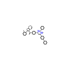 C=N/C(=C\C(=N/Cc1ccccc1)c1ccc(C(=C)C2=C(c3ccccc3C)CC3=C2C=CCC3)cc1)c1ccc(-c2ccccc2)cc1